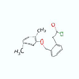 Cc1ccc(C)c(OCc2ccccc2CC(=O)Cl)c1